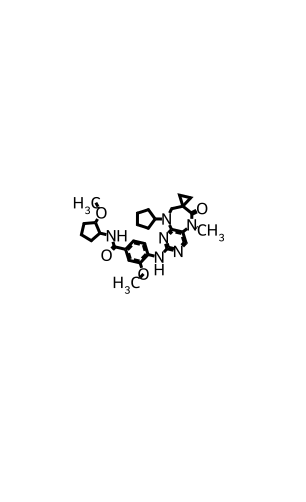 COc1cc(C(=O)NC2CCCC2OC)ccc1Nc1ncc2c(n1)N(C1CCCC1)CC1(CC1)C(=O)N2C